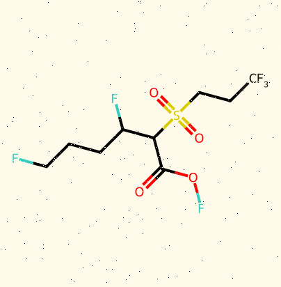 O=C(OF)C(C(F)CCCF)S(=O)(=O)CCC(F)(F)F